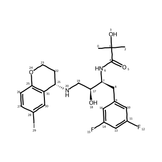 CC(C)(O)C(=O)N[C@@H](Cc1cc(F)cc(F)c1)[C@@H](O)CN[C@H]1CCOc2ccc(I)cc21